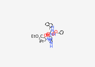 CCOC(=O)CC(O)C(CC(C)C)NC(=O)[C@H](Cc1c[nH]cn1)NC(=O)[C@H](Cc1cccc2ccccc12)NC(=O)OCc1ccccc1